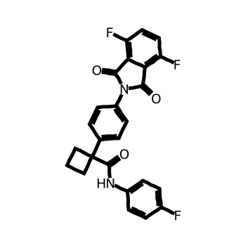 O=C1c2c(F)ccc(F)c2C(=O)N1c1ccc(C2(C(=O)Nc3ccc(F)cc3)CCC2)cc1